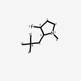 CN1CCC(F)C1CC(C)(C)C